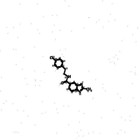 Cc1nc2cc(C(=O)NCCc3ccc(Cl)cc3)ccc2s1